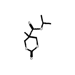 CC(C)OC(=O)C1(C)COC(=O)OC1